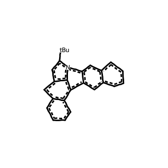 CC(C)(C)c1cc2cc3ccccc3c3c4cc5ccccc5cc4n1c23